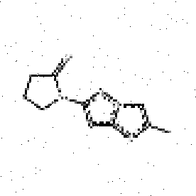 O=C1CCCN1c1nn2cc(I)nc2s1